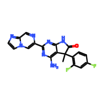 CC1(c2ccc(F)cc2F)C(=O)Nc2nc(-c3cn4ccnc4cn3)nc(N)c21